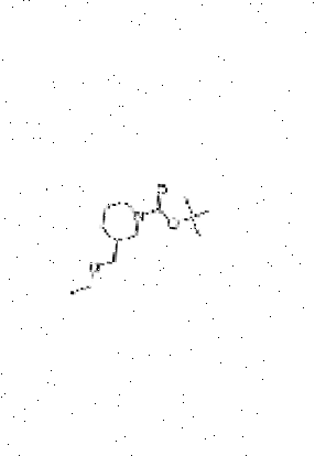 CCOC[C@H]1CCCN(C(=O)OC(C)(C)C)C1